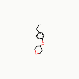 [CH2]Cc1ccc(OC2CCOCC2)cc1